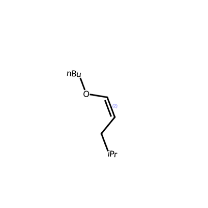 CCCCO/C=C\CC(C)C